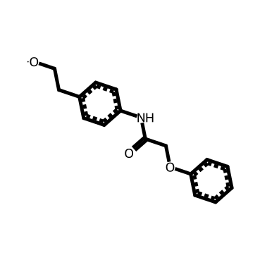 [O]CCc1ccc(NC(=O)COc2ccccc2)cc1